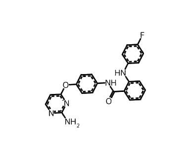 Nc1nccc(Oc2ccc(NC(=O)c3ccccc3Nc3ccc(F)cc3)cc2)n1